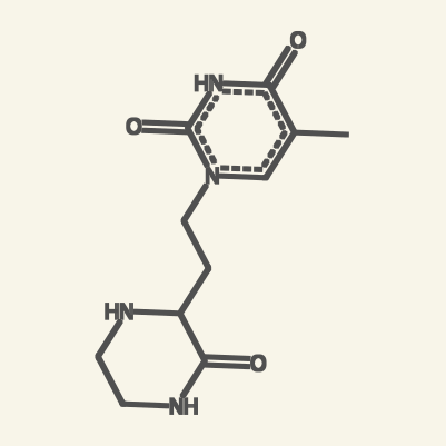 Cc1cn(CCC2NCCNC2=O)c(=O)[nH]c1=O